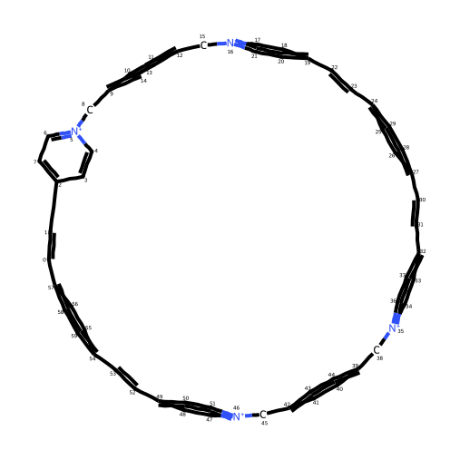 C1=C/c2cc[n+](cc2)Cc2ccc(cc2)C[n+]2ccc(cc2)/C=C/c2ccc(cc2)/C=C/c2cc[n+](cc2)Cc2ccc(cc2)C[n+]2ccc(cc2)/C=C/c2ccc/1cc2